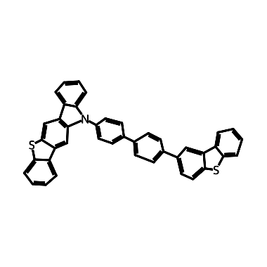 c1ccc2c(c1)sc1ccc(-c3ccc(-c4ccc(-n5c6ccccc6c6cc7sc8ccccc8c7cc65)cc4)cc3)cc12